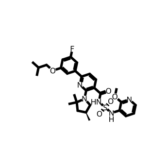 COc1ncccc1NS(=O)(=O)NC(=O)c1ccc(-c2cc(F)cc(OCC(C)C)c2)nc1N1C[C@@H](C)CC1(C)C